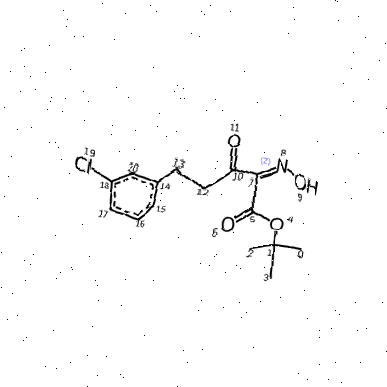 CC(C)(C)OC(=O)/C(=N\O)C(=O)CCc1cccc(Cl)c1